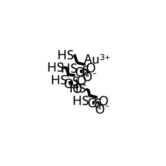 O=S(=O)([O-])CC(S)CS.O=S(=O)([O-])CC(S)CS.O=S(=O)([O-])CC(S)CS.[Au+3]